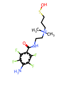 C[N+](C)(CCCSO)CCNC(=O)c1c(F)c(F)c(N)c(F)c1F